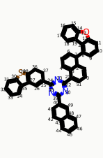 C1=CC2C(=CC=CC2c2cccc3oc4ccccc4c23)C(c2nc(C3=Cc4c(sc5ccccc45)CC3)nc(-c3ccc4ccccc4c3)n2)=C1